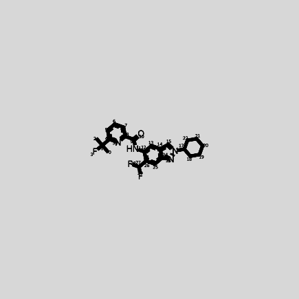 CC(C)(F)c1cccc(C(=O)Nc2cc3cn(C4CCCCC4)nc3cc2C(F)F)n1